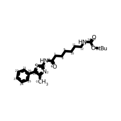 Cc1nc(NC(=O)CCCCCCNC(=O)OC(C)(C)C)sc1-c1ccccc1